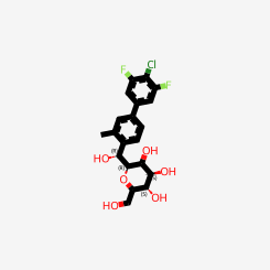 Cc1cc(-c2cc(F)c(Cl)c(F)c2)ccc1[C@@H](O)[C@H]1OC(CO)[C@@H](O)[C@H](O)C1O